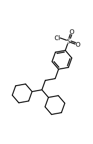 O=S(=O)(Cl)c1ccc(CCC(C2CCCCC2)C2CCCCC2)cc1